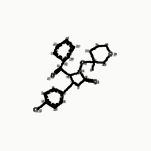 CC1(ON2C(=O)CC(c3ccc(Cl)cc3)C2C(=O)c2ccccc2)CCCOC1